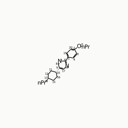 CCCOc1ccc(-c2ncc([C@H]3CC[C@H](CCC)CC3)cn2)cc1